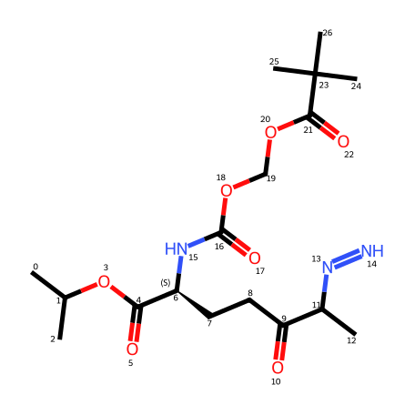 CC(C)OC(=O)[C@H](CCC(=O)C(C)N=N)NC(=O)OCOC(=O)C(C)(C)C